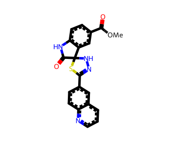 COC(=O)c1ccc2c(c1)C1(NN=C(c3ccc4ncccc4c3)S1)C(=O)N2